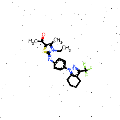 CCn1c(C)c(C(C)=O)sc1=Nc1ccc(-n2nc(C(F)(F)F)c3c2CCCC3)cc1